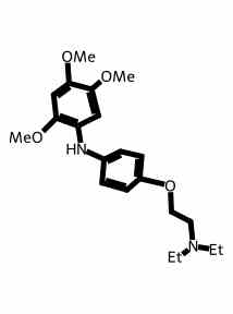 CCN(CC)CCOc1ccc(Nc2cc(OC)c(OC)cc2OC)cc1